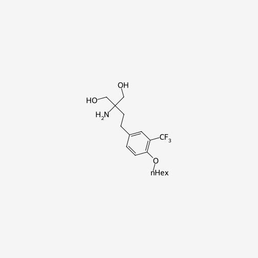 CCCCCCOc1ccc(CCC(N)(CO)CO)cc1C(F)(F)F